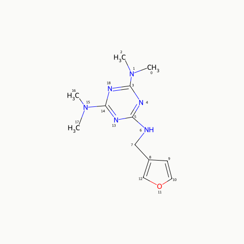 CN(C)c1nc(NCc2ccoc2)nc(N(C)C)n1